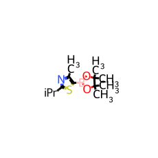 Cc1nc(C(C)C)sc1B1OC(C)(C)C(C)(C)O1